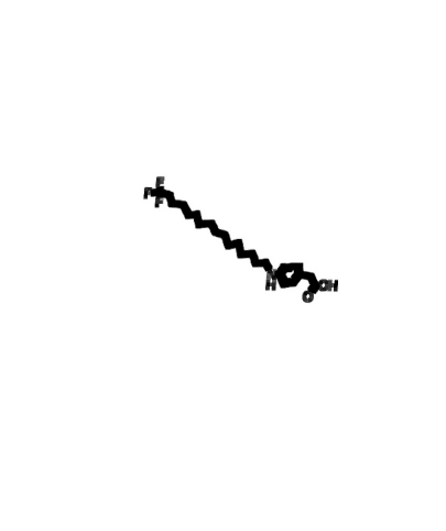 O=C(O)Cc1ccc(NCCCCCCCCCCCCCCCC(F)(F)F)cc1